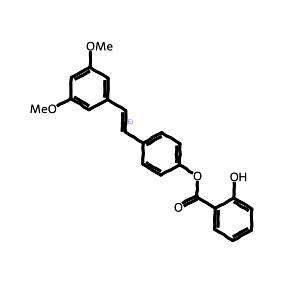 COc1cc(/C=C/c2ccc(OC(=O)c3ccccc3O)cc2)cc(OC)c1